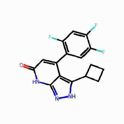 O=c1cc(-c2cc(F)c(F)cc2F)c2c(C3CCC3)[nH]nc2[nH]1